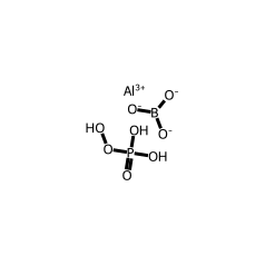 O=P(O)(O)OO.[Al+3].[O-]B([O-])[O-]